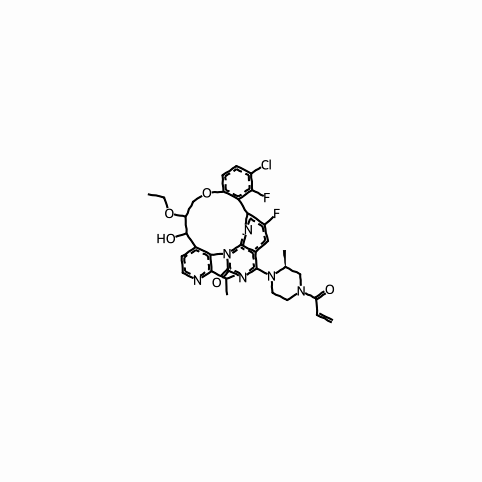 C=CC(=O)N1CCN(c2nc(=O)n3c4nc(c(F)cc24)-c2c(ccc(Cl)c2F)OCC(OCC)C(O)c2ccnc(C(C)C)c2-3)[C@@H](C)C1